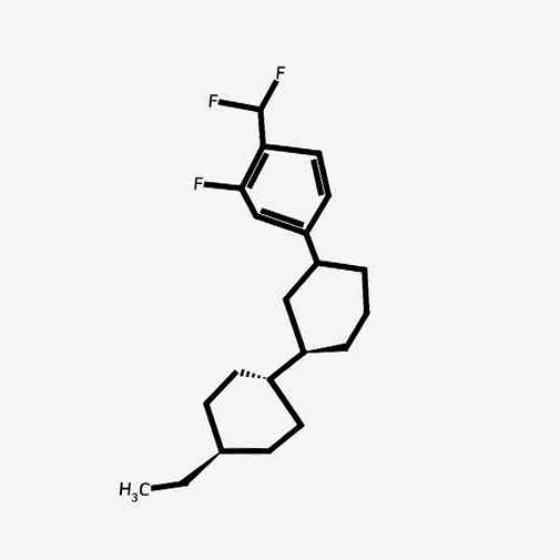 CC[C@H]1CC[C@H]([C@@H]2CCCC(c3ccc(C(F)F)c(F)c3)C2)CC1